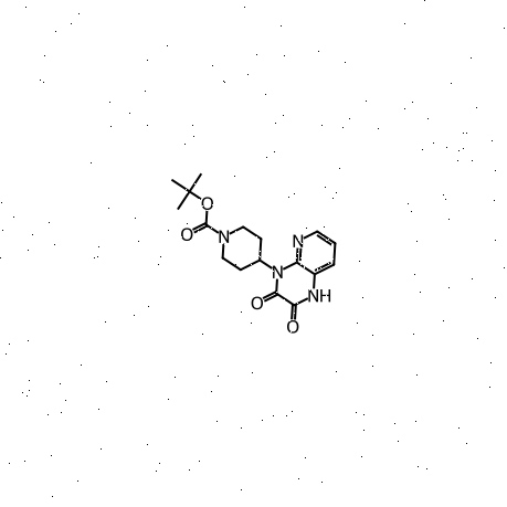 CC(C)(C)OC(=O)N1CCC(n2c(=O)c(=O)[nH]c3cccnc32)CC1